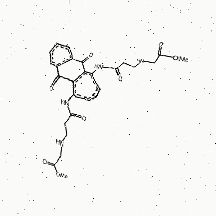 COC(=O)CNCCC(=O)Nc1ccc(NC(=O)CCNCC(=O)OC)c2c1C(=O)c1ccccc1C2=O